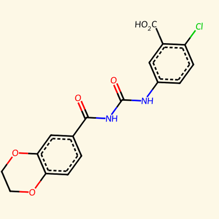 O=C(NC(=O)c1ccc2c(c1)OCCO2)Nc1ccc(Cl)c(C(=O)O)c1